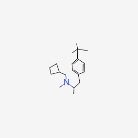 CC(Cc1ccc(C(C)(C)C)cc1)N(C)CC1CCC1